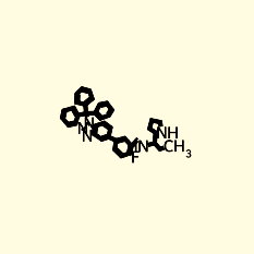 CCC(NCc1cc(-c2ccc3c(c2)nnn3C(c2ccccc2)(c2ccccc2)c2ccccc2)ccc1F)C1CCCN1